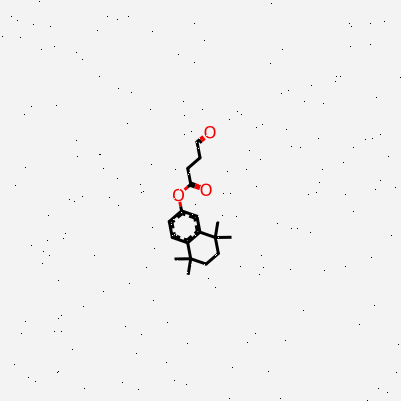 CC1(C)CCC(C)(C)c2cc(OC(=O)CCC=O)ccc21